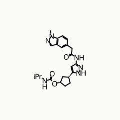 CC(C)NC(=O)O[C@@H]1CC[C@H](c2cc(NC(=O)Cc3ccc4c(cnn4C)c3)n[nH]2)C1